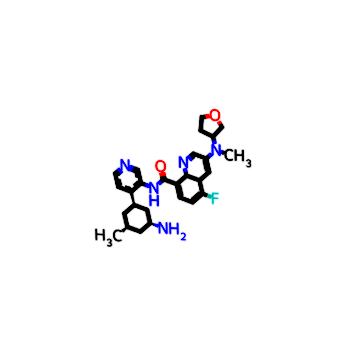 C[C@@H]1C[C@H](N)C[C@H](c2ccncc2NC(=O)C2=CC=C(F)C3C=C(N(C)C4CCOC4)C=NC23)C1